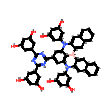 Oc1cc(O)cc(-c2nc(-c3cc(O)cc(O)c3)nc(-c3cc4c5c(c3)N(c3cc(O)cc(O)c3)c3cc6ccccc6cc3B5c3cc5ccccc5cc3N4c3cc(O)cc(O)c3)n2)c1